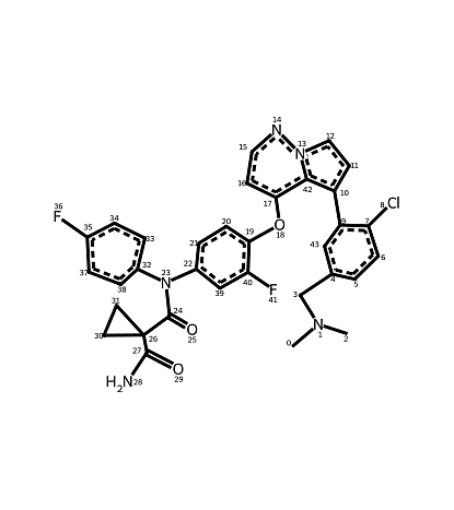 CN(C)Cc1ccc(Cl)c(-c2ccn3nccc(Oc4ccc(N(C(=O)C5(C(N)=O)CC5)c5ccc(F)cc5)cc4F)c23)c1